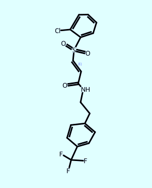 O=C(/C=C/S(=O)(=O)c1ccccc1Cl)NCCc1ccc(C(F)(F)F)cc1